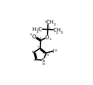 CC(C)(C)OC(=O)c1ccsc1I